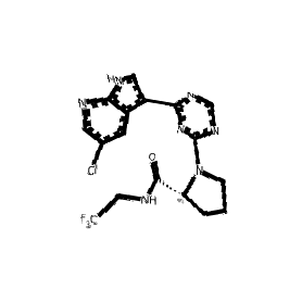 O=C(NCC(F)(F)F)[C@H]1CCCN1c1ncnc(-c2c[nH]c3ncc(Cl)cc23)n1